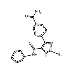 CCc1nc(-c2ccc(C(N)=O)cc2)c(C(=O)Nc2ccccc2)[nH]1